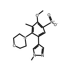 COc1c([N+](=O)[O-])cc(-c2cnn(C)c2)c(N2CCOCC2)c1C